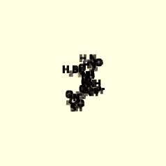 BC(=O)CNC(=O)[C@H](CCCNC(N)=O)NC(=O)C(NC(=O)CCN1C(=O)CC(S)C1=O)C(C)C